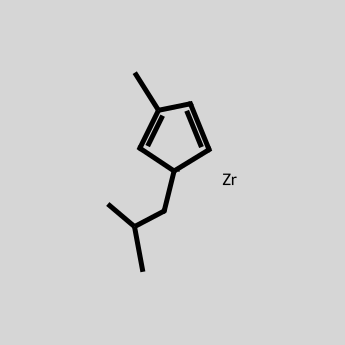 CC1=C[C](CC(C)C)C=C1.[Zr]